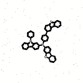 C1=CC2Oc3cc(N(c4ccc(-c5ccc6sc7ccccc7c6c5)cc4)c4ccc5c6ccccc6n(-c6ccccc6)c5c4)ccc3C2C=C1